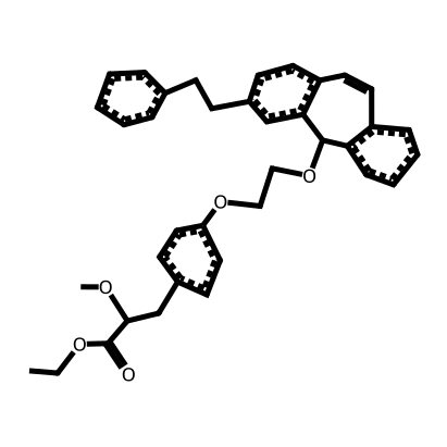 CCOC(=O)C(Cc1ccc(OCCOC2c3ccccc3C=Cc3ccc(CCc4ccccc4)cc32)cc1)OC